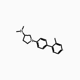 Cc1c[c]ccc1-c1ccc(N2CCC(N(C)C)C2)cc1